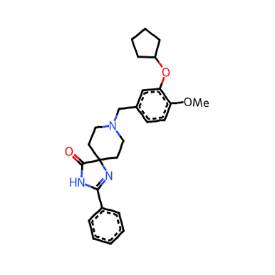 COc1ccc(CN2CCC3(CC2)N=C(c2ccccc2)NC3=O)cc1OC1CCCC1